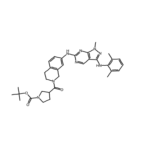 Cc1cccc(C)c1Nc1nn(C)c2nc(Nc3ccc4c(c3)CN(C(=O)C3CCN(C(=O)OC(C)(C)C)C3)CC4)ncc12